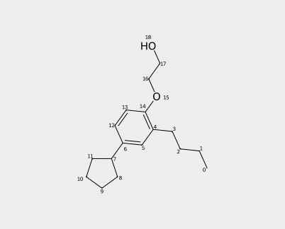 CCCCc1cc(C2CCCC2)ccc1OCCO